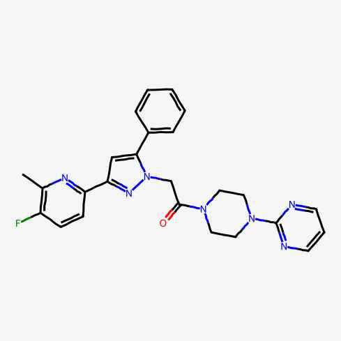 Cc1nc(-c2cc(-c3ccccc3)n(CC(=O)N3CCN(c4ncccn4)CC3)n2)ccc1F